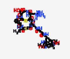 CCC(=O)[C@@H]1CSCC(=O)N[C@@H](CCCCNC(=O)CCCC(=O)NCCC(CCCC(C)(C)/C(C)=N\O)CCNC(C)(C)/C(C)=N\O)C(=O)N[C@H]2CSSC[C@H](NC(=O)[C@H](CC(=O)O)CC(=O)CNC(=O)[C@H](CCCNC(=N)N)CC2=O)C(=O)C[C@@H](Cc2ccccc2)C(=O)N1